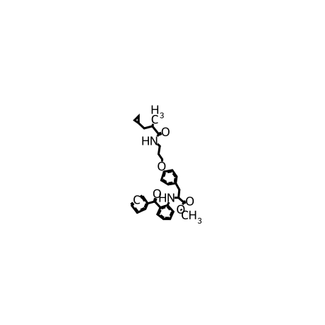 COC(=O)C(Cc1ccc(OCCCNC(=O)C(C)CC2CC2)cc1)Nc1ccccc1C(=O)c1ccccc1